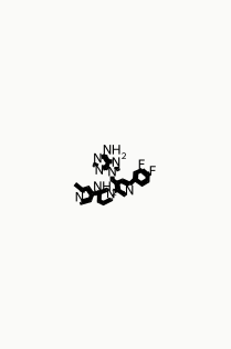 Cc1cc([C@@]2(N)CCCN(c3cnc(-c4ccc(F)c(F)c4)cc3Cn3cnc4c(N)ncnc43)C2)ccn1